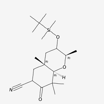 C[C@H]1O[C@H]2C(C)(C)C(=O)C(C#N)C[C@]2(C)CC1O[Si](C)(C)C(C)(C)C